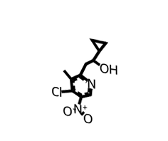 Cc1c(CC(O)C2CC2)ncc([N+](=O)[O-])c1Cl